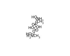 CC(N)(CO)COC(=O)C(O)C(O)C(=O)OCC(C)(N)CO